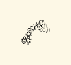 C[C@@H]1C(C(F)(F)F)=NN(c2ccc(OC3CCN(c4cccc5c4OCCO5)CC3)cc2)[C@H]1CC(=O)O